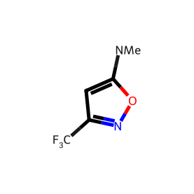 CNc1cc(C(F)(F)F)no1